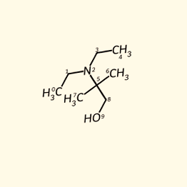 CCN(CC)C(C)(C)CO